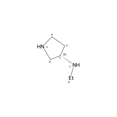 CCN[C@H]1CCNC1